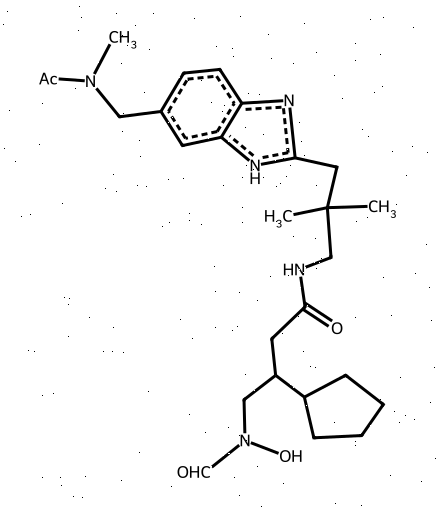 CC(=O)N(C)Cc1ccc2nc(CC(C)(C)CNC(=O)CC(CN(O)C=O)C3CCCC3)[nH]c2c1